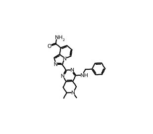 CC1Cc2nc(-c3ncc4c(C(N)=O)cccn34)nc(NCc3ccccc3)c2CN1C